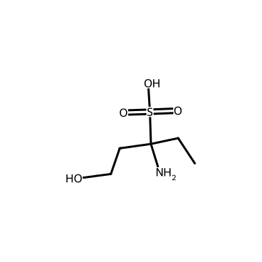 CCC(N)(CCO)S(=O)(=O)O